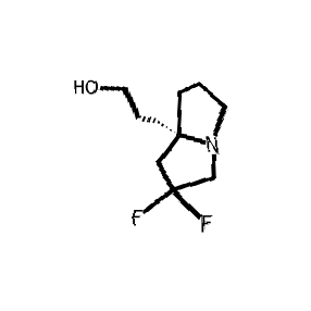 OCC[C@]12CCCN1CC(F)(F)C2